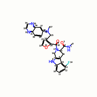 CNC(=O)C1Cc2c([nH]c3cccc(F)c23)CN1C(=O)c1occc1CN(C)c1ccc2nccnc2c1